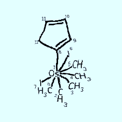 [CH3][Os]([CH3])([CH3])([CH3])([CH3])([I])([I])[C]1=CC=CC1